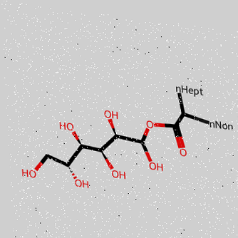 CCCCCCCCCC(CCCCCCC)C(=O)OC(O)[C@H](O)[C@@H](O)[C@H](O)[C@H](O)CO